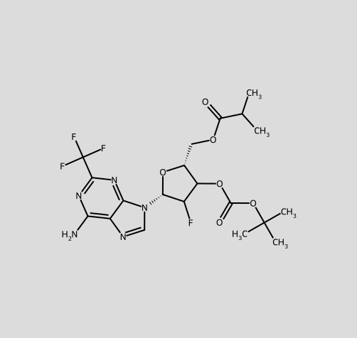 CC(C)C(=O)OC[C@H]1O[C@@H](n2cnc3c(N)nc(C(F)(F)F)nc32)C(F)C1OC(=O)OC(C)(C)C